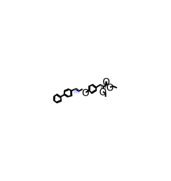 CCOC(=O)[C@H](Cc1ccc(OC/C=C/c2ccc(-c3ccccc3)cc2)cc1)OCC